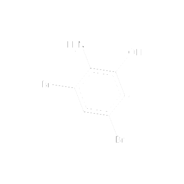 Nc1c(O)cc(Br)cc1Br